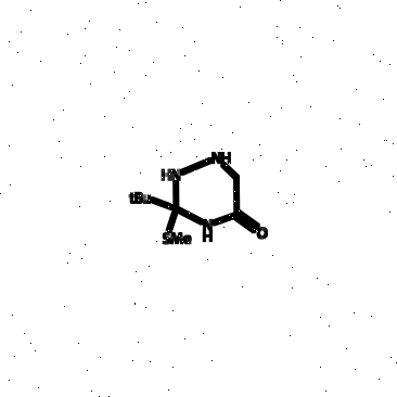 CSC1(C(C)(C)C)NNCC(=O)N1